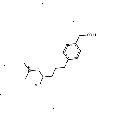 C[SiH](C)OC(CCCc1ccc(CC(=O)O)cc1)C(C)(C)C